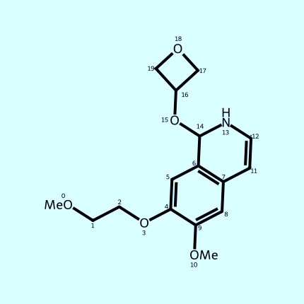 COCCOc1cc2c(cc1OC)C=[C]NC2OC1COC1